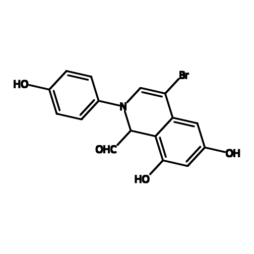 O=CC1c2c(O)cc(O)cc2C(Br)=CN1c1ccc(O)cc1